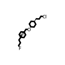 FCCCC12CCC(CO[C@H]3CC[C@H](CCCCl)CC3)(CC1)CC2